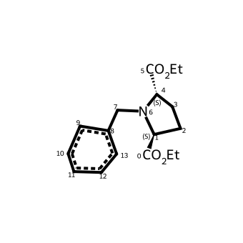 CCOC(=O)[C@@H]1CC[C@@H](C(=O)OCC)N1Cc1ccccc1